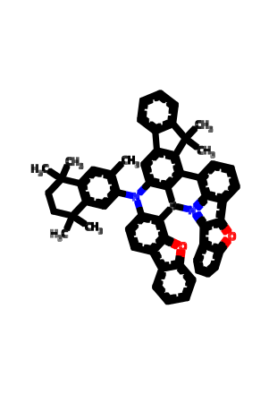 Cc1cc2c(cc1N1c3cc4c(c5c3B(c3c1ccc1c3oc3ccccc31)n1c3c-5cccc3c3oc5ccccc5c31)C(C)(C)c1ccccc1-4)C(C)(C)CCC2(C)C